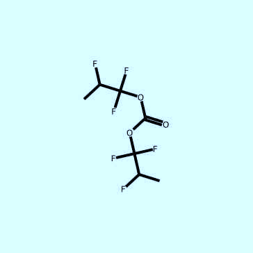 CC(F)C(F)(F)OC(=O)OC(F)(F)C(C)F